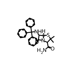 CC1(C)S[C@H]2C(NC(c3ccccc3)(c3ccccc3)c3ccccc3)C(=O)N2C1C(N)=O